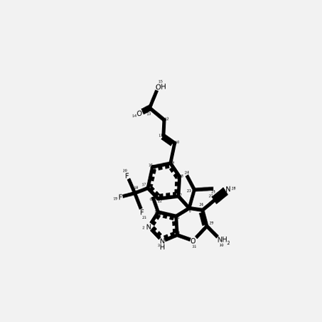 Cc1n[nH]c2c1C(c1cc(C=CCC(=O)O)cc(C(F)(F)F)c1)(C(C)C)C(C#N)=C(N)O2